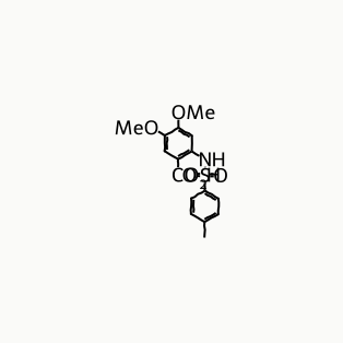 COc1cc(NS(=O)(=O)c2ccc(C)cc2)c(C(=O)O)cc1OC